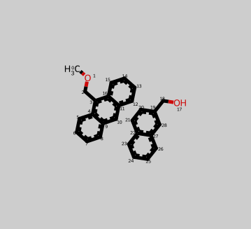 COCc1c2ccccc2cc2ccccc12.OCc1ccc2ccccc2c1